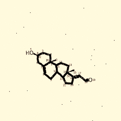 C[C@]12CC[C@H](O)CC1=CCC1C2CC[C@]2(C)C(=CC=O)CCC12